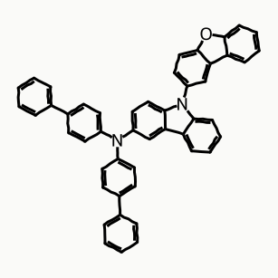 c1ccc(-c2ccc(N(c3ccc(-c4ccccc4)cc3)c3ccc4c(c3)c3ccccc3n4-c3ccc4oc5ccccc5c4c3)cc2)cc1